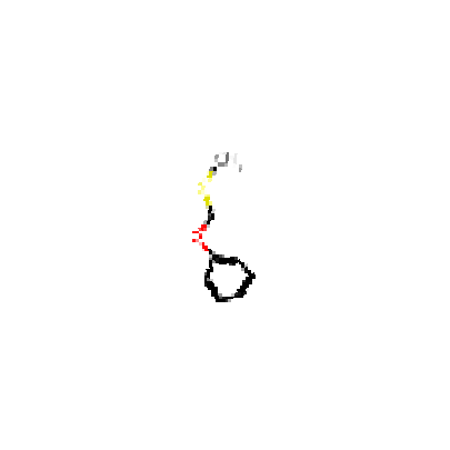 CSCOc1cc[c]cc1